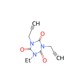 C#CCn1c(=O)n(CC)c(=O)n(CC#C)c1=O